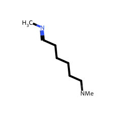 C/N=C/CCCCCNC